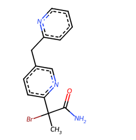 CC(Br)(C(N)=O)c1ccc(Cc2ccccn2)cn1